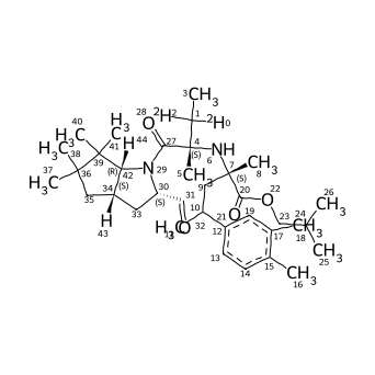 [2H]C([2H])(C)[C@](C)(N[C@@](C)(CC(C)c1ccc(C)c(C)c1)C(=O)OCC(C)C)C(=O)N1[C@H](C=O)C[C@@H]2CC(C)(C)C(C)(C)[C@@H]21